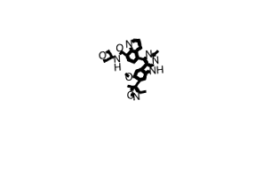 COc1cc2c(cc1-c1c(C)noc1C)[nH]c1nc(C)nc(-c3ccc(C(=O)NC4COC4)c4ncccc34)c12